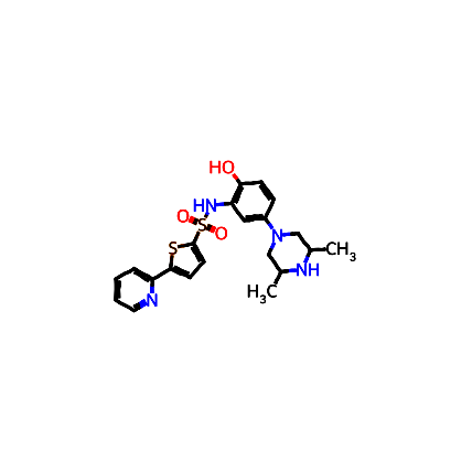 CC1CN(c2ccc(O)c(NS(=O)(=O)c3ccc(-c4ccccn4)s3)c2)CC(C)N1